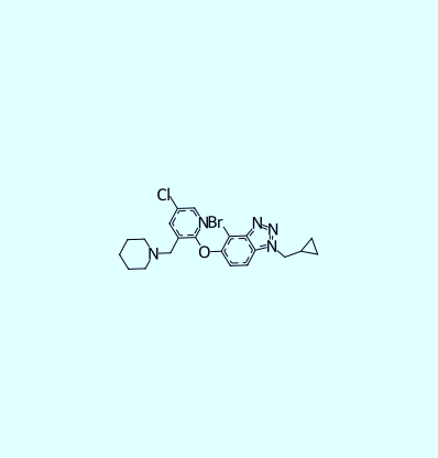 Clc1cnc(Oc2ccc3c(nnn3CC3CC3)c2Br)c(CN2CCCCC2)c1